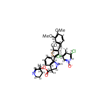 COc1ccc([C@H](Cc2c(Cl)c[n+]([O-])cc2Cl)c2cc(CN(C)CC(C)(C(=O)O[C@H]3CN4CCC3CC4)c3ccccc3)sc2C(=O)O)cc1OC